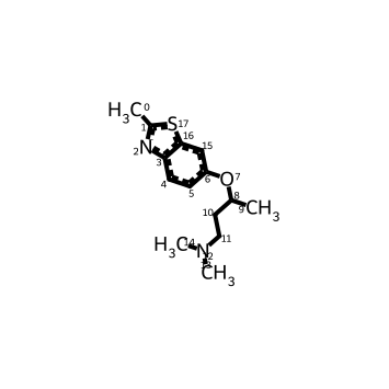 Cc1nc2ccc(OC(C)CCN(C)C)cc2s1